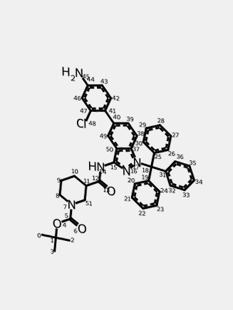 CC(C)(C)OC(=O)N1CCCC(C(=O)Nc2nn(C(c3ccccc3)(c3ccccc3)c3ccccc3)c3ccc(-c4ccc(N)cc4Cl)cc23)C1